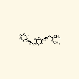 CCC(C)CC#CC1CCC(CC#CC2CCCOC2)CO1